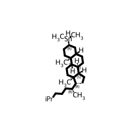 CC(C)CCC[C@@H](C)[C@H]1CC[C@H]2[C@@H]3CC[C@H]4C[C@H]([SnH]([CH3])[CH3])CC[C@]4(C)[C@H]3CC[C@]12C